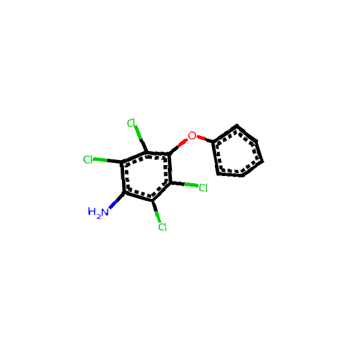 Nc1c(Cl)c(Cl)c(Oc2ccccc2)c(Cl)c1Cl